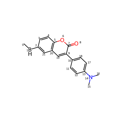 CBc1ccc2oc(=O)c(-c3ccc(N(C)C)cc3)cc2c1